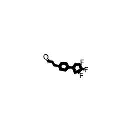 O=CCCc1ccc(-c2cc(F)c(F)c(F)c2)cc1